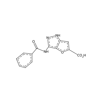 O=C(Nc1n[nH]c2cc(C(=O)O)oc12)c1ccccc1